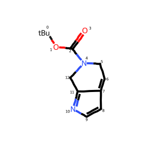 CC(C)(C)OC(=O)N1CC=C2C=CN=C2C1